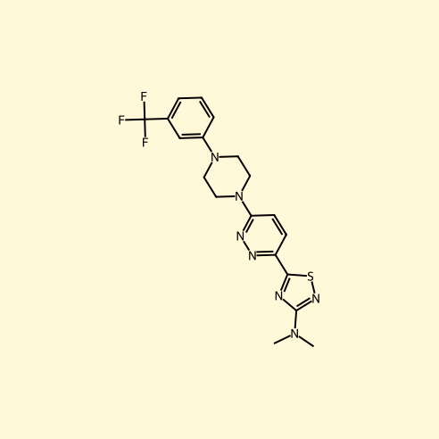 CN(C)c1nsc(-c2ccc(N3CCN(c4cccc(C(F)(F)F)c4)CC3)nn2)n1